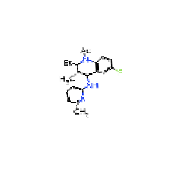 CCC1[C@@H](C)C(Nc2cccc(C)n2)c2cc(F)ccc2N1C(C)=O